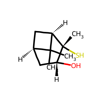 CC1(C)[C@H]2C[C@@H](O)[C@@](C)(S)[C@@H]1C2